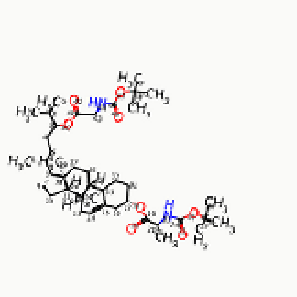 CC(C)C(CC[C@@H](C)[C@H]1CC[C@H]2[C@@H]3CC=C4C[C@@H](OC(=O)[C@H](C)NC(=O)OC(C)(C)C)CC[C@]4(C)[C@H]3CC[C@]12C)OC(=O)CNC(=O)OC(C)(C)C